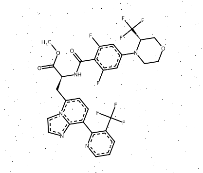 COC(=O)[C@H](Cc1ccc(-c2ncccc2C(F)(F)F)c2nccn12)NC(=O)c1c(F)cc(N2CCOC[C@@H]2C(F)(F)F)cc1F